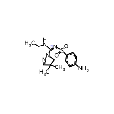 CCN/C(=N/S(=O)(=O)c1ccc(N)cc1)N1CC(C)(C)C=N1